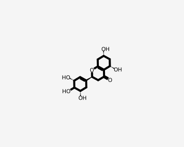 O=C1C[C@@H](C2=C[C@@H](O)C(O)[C@@H](O)C2)OC2=C1[C@@H](O)C[C@@H](O)C2